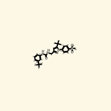 CC(C)(C)c1cc(CNC(=O)Nc2cccc(C(F)(F)F)c2)nn1-c1ccc(S(C)(=O)=O)cc1